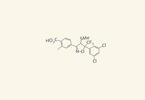 CSC1C(c2ccc(C(=O)O)c(C)c2)=NOC1(c1cc(Cl)cc(Cl)c1)C(F)(F)F